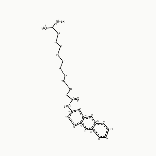 CCCCCCC(O)CCCCCCCCCCC(=O)Nc1ccc2cc3ccccc3cc2c1